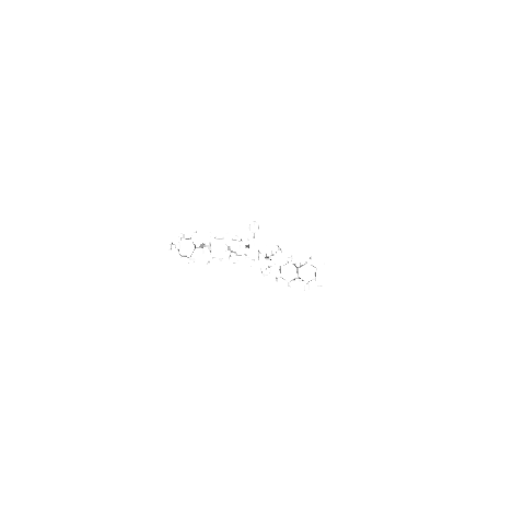 O=C1CN(S(=O)(=O)c2ccc3ccccc3c2)CC2OC3(CCN(c4ccncc4)CC3)CN12